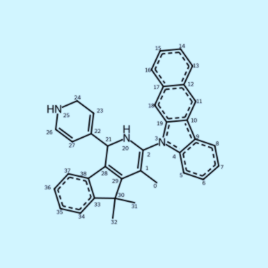 CC1=C(n2c3ccccc3c3cc4ccccc4cc32)NC(C2=CCNC=C2)C2=C1C(C)(C)c1ccccc12